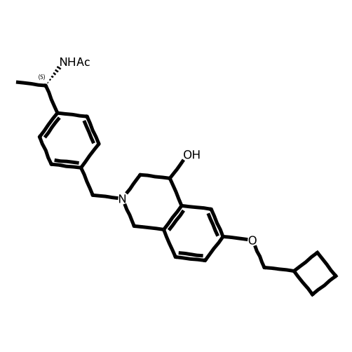 CC(=O)N[C@@H](C)c1ccc(CN2Cc3ccc(OCC4CCC4)cc3C(O)C2)cc1